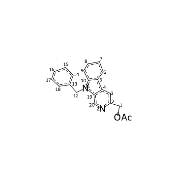 CC(=O)OCc1cc2c3ccccc3n(Cc3ccccc3)c2cn1